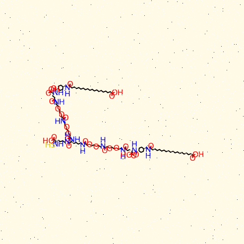 O=C(O)CCCCCCCCCCCCCCCCCCC(=O)NC[C@H]1CC[C@H](C(=O)N[C@@H](CCC(=O)NCCOCCOCC(=O)NCCOCCOCC(=O)NCCCC[C@H](NC(=O)COCCOCCNC(=O)COCCOCCNC(=O)CC[C@H](NC(=O)[C@H]2CC[C@H](CNC(=O)CCCCCCCCCCCCCCCCCCC(=O)O)CC2)C(=O)O)C(=O)NCCCC[C@H](NS)C(=O)O)C(=O)O)CC1